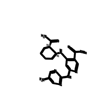 CNC(=O)c1cnc(Nc2ncc(C(F)(F)F)cn2)cc1N[C@@H]1CCCC[C@@H]1C(N)=O